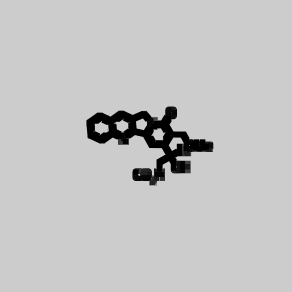 CCC(O)(CC(=O)O)c1cc2n(c(=O)c1COC)Cc1cc3ccccc3nc1-2